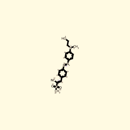 CN(CCO)c1ccc(/N=N/c2ccc(/C=C(\C#N)S(C)(=O)=O)cc2)cc1